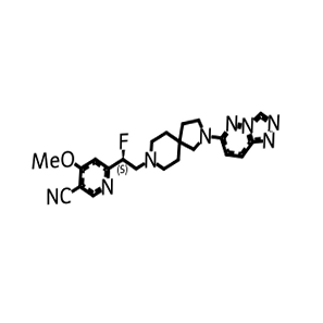 COc1cc([C@@H](F)CN2CCC3(CC2)CCN(c2ccc4nncn4n2)C3)ncc1C#N